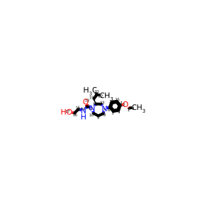 CCOc1ccc(N2CCCN(C(=O)NCCO)[C@@H](CC(C)C)C2)cc1